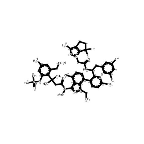 CSN(C(=O)CC(C)(C)c1c(CC(=O)O)cc(C)cc1OP(=O)(O)O)c1nn(CC(F)(F)F)c2c(-c3ccc(C)nc3C(Cc3cc(F)cc(F)c3)NC(=O)Cn3nc(C(F)(F)F)c4c3C(F)(F)CC4)ccc(Cl)c12